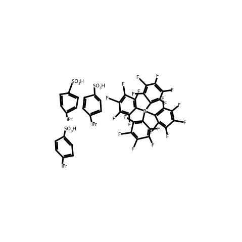 CC(C)c1ccc(S(=O)(=O)O)cc1.CC(C)c1ccc(S(=O)(=O)O)cc1.CC(C)c1ccc(S(=O)(=O)O)cc1.Fc1c(F)c(F)c([B-](c2c(F)c(F)c(F)c(F)c2F)(c2c(F)c(F)c(F)c(F)c2F)c2c(F)c(F)c(F)c(F)c2F)c(F)c1F